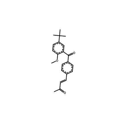 COc1ccc(C(C)(C)C)cc1C(=O)c1ccc(C=CC(C)=O)cc1